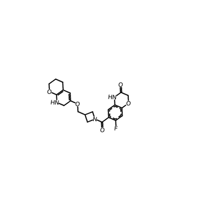 O=C1COc2cc(F)c(C(=O)N3CC(COC4=CC5=C(NC4)OCCC5)C3)cc2N1